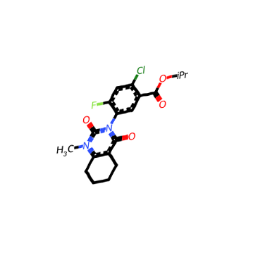 CC(C)OC(=O)c1cc(-n2c(=O)c3c(n(C)c2=O)CCCC3)c(F)cc1Cl